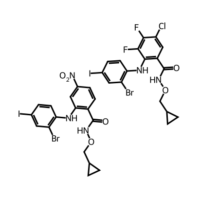 O=C(NOCC1CC1)c1cc(Cl)c(F)c(F)c1Nc1ccc(I)cc1Br.O=C(NOCC1CC1)c1ccc([N+](=O)[O-])cc1Nc1ccc(I)cc1Br